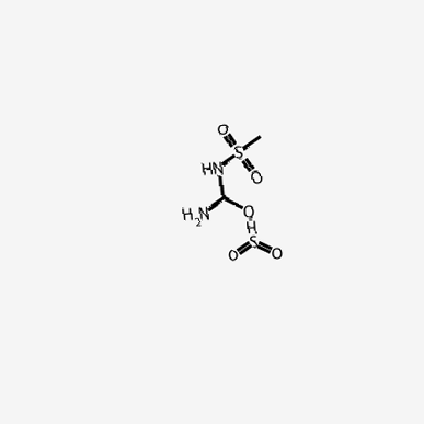 CS(=O)(=O)NC(N)O[SH](=O)=O